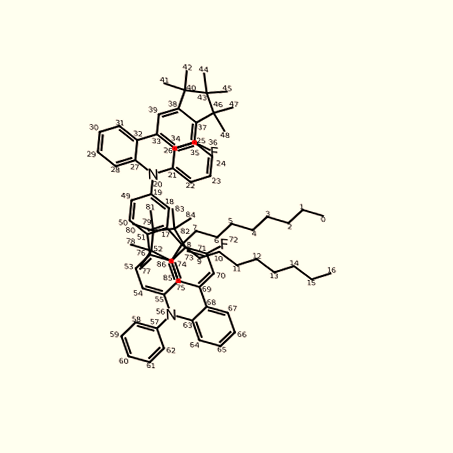 CCCCCCCCC1(CCCCCCCC)c2cc(N(c3ccccc3)c3ccccc3-c3cc(F)c4c(c3)C(C)(C)C(C)(C)C4(C)C)ccc2-c2ccc(N(c3ccccc3)c3ccccc3-c3cc(F)c4c(c3)C(C)(C)C(C)(C)C4(C)C)cc21